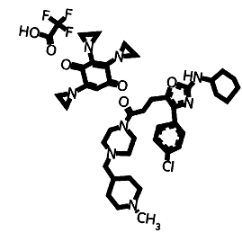 CN1CCC(CN2CCN(C(=O)CCc3oc(NC4CCCCC4)nc3-c3ccc(Cl)cc3)CC2)CC1.O=C(O)C(F)(F)F.O=C1C=C(N2CC2)C(=O)C(N2CC2)=C1N1CC1